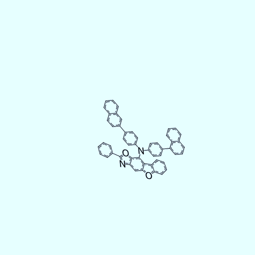 c1ccc(-c2nc3cc4oc5ccccc5c4c(N(c4ccc(-c5ccc6ccccc6c5)cc4)c4ccc(-c5cccc6ccccc56)cc4)c3o2)cc1